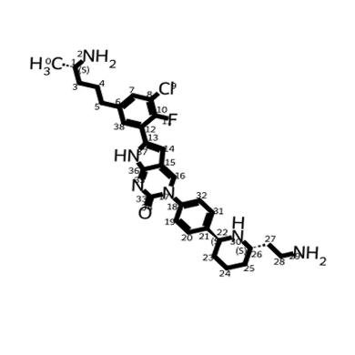 C[C@H](N)CCCc1cc(Cl)c(F)c(-c2cc3cn(-c4ccc([C@@H]5CCC[C@@H](CCN)N5)cc4)c(=O)nc3[nH]2)c1